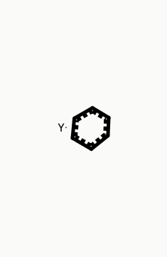 [Y].c1ccccc1